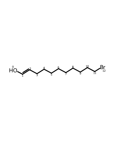 OC=CCCCCCCCCCBr